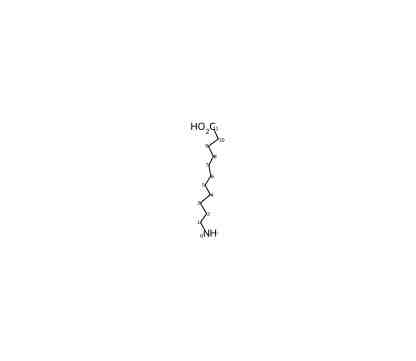 [NH]CCCCCCCCCCC(=O)O